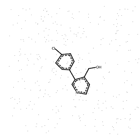 OCc1ccncc1-c1ccc(Cl)cc1